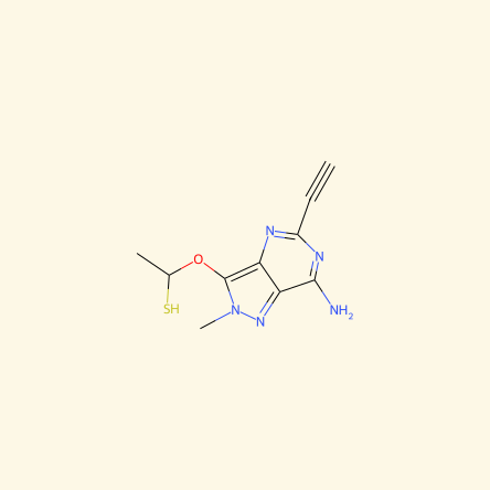 C#Cc1nc(N)c2nn(C)c(OC(C)S)c2n1